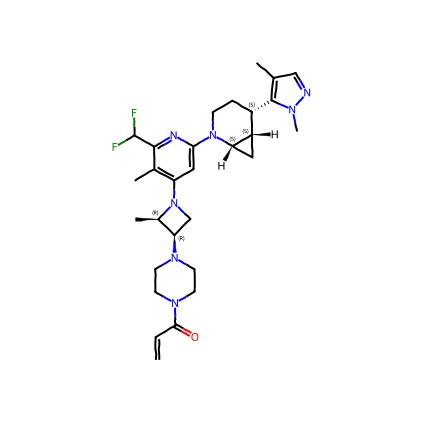 C=CC(=O)N1CCN([C@@H]2CN(c3cc(N4CC[C@H](c5c(C)cnn5C)[C@@H]5C[C@@H]54)nc(C(F)F)c3C)[C@@H]2C)CC1